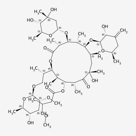 C=C1C[C@@H](C)O[C@@H](O[C@@H]2[C@@H](C)[C@H](O[C@H]3C[C@@](C)(O)[C@@H](O)[C@H](C)O3)[C@@H](C)C(=O)O[C@H]([C@@H](C)CO[C@@H]3O[C@H](C)[C@@H](O)[C@@H](OC)[C@H]3OC)[C@H](C)[C@@H](OC(=O)CC(C)C)[C@@H](C)C(=O)[C@@](C)(O)C[C@@H]2C)[C@@H]1O